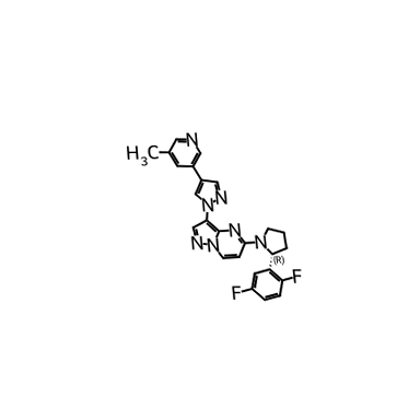 Cc1cncc(-c2cnn(-c3cnn4ccc(N5CCC[C@@H]5c5cc(F)ccc5F)nc34)c2)c1